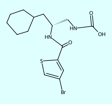 O=C(O)NC[C@@H](CC1CCCCC1)NC(=O)c1cc(Br)cs1